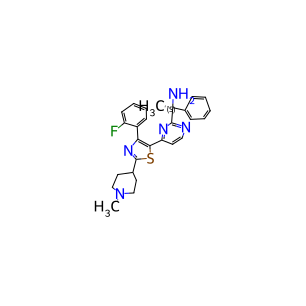 CN1CCC(c2nc(-c3ccccc3F)c(-c3ccnc([C@@](C)(N)c4ccccc4)n3)s2)CC1